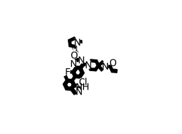 C=CC(=O)N1CC2(CCN(c3nc(OC[C@@H]4CCCN4C)nc4c(F)c(-c5c(C)ccc6cn[nH]c56)c(Cl)cc34)CC2)C1